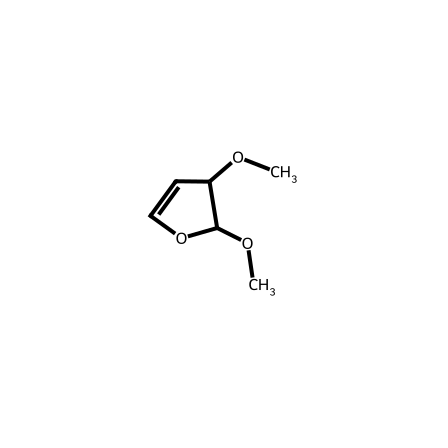 COC1C=COC1OC